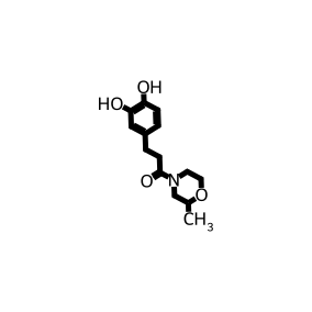 CC1CN(C(=O)CCc2ccc(O)c(O)c2)CCO1